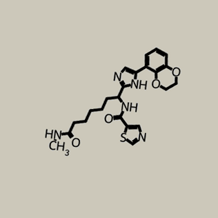 CNC(=O)CCCCCC(NC(=O)c1cncs1)c1ncc(-c2cccc3c2OCCO3)[nH]1